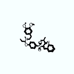 CCC(Oc1ccc(S(=O)(=O)c2cc3ccccc3nc2C(C)C)cc1)N(C)CCc1ccc(OC)c(OC)c1